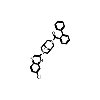 O=C(c1ccccc1-c1ccccc1)N1CC2CN(c3cnc4ccc(Cl)cc4n3)CC(C1)O2